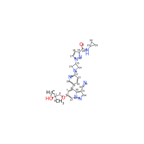 CC(C)(O)COc1cc(-c2ccc(N3CC(n4ccc(C(=O)NC5CC5)n4)C3)nc2)c2c(C#N)cnn2c1